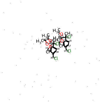 CCO[Si](C)(OCC)C(C)(Cl)c1ccc(CCl)cc1.CCO[Si](OCC)(OCC)C(C)(Cl)c1ccc(CCl)cc1